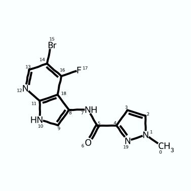 Cn1ccc(C(=O)Nc2c[nH]c3ncc(Br)c(F)c23)n1